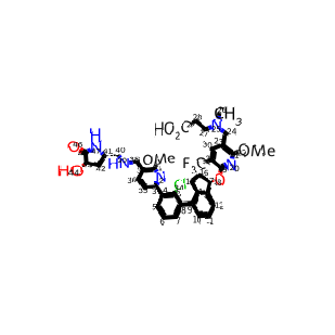 COc1nc(-c2cccc(-c3cccc4c3CC[C@@H]4Oc3nc(OC)c(CN(C)CCC(=O)O)cc3C(F)(F)F)c2Cl)ccc1CNC[C@@H]1CC(O)C(=O)N1